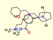 CN(C)CC[C@H](O)CN(CCN1[C@@H]2CC[C@H]1C[C@@H](c1cccc(C(N)=O)c1)C2)CC1CCCCC1